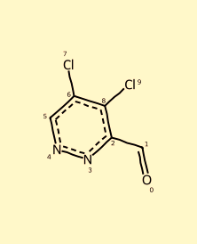 O=Cc1nncc(Cl)c1Cl